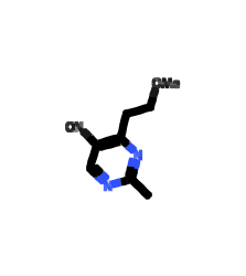 COCCc1nc(C)ncc1N=O